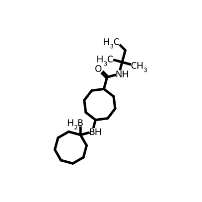 BC1(BC2CCCC(C(=O)NC(C)(C)CC)CCC2)CCCCCCC1